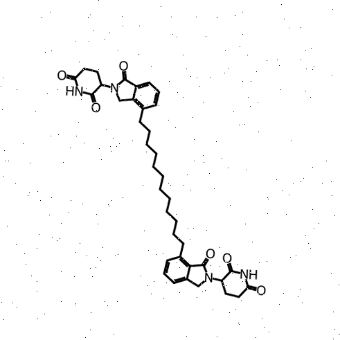 O=C1CCC(N2Cc3c(CCCCCCCCCCCCc4cccc5c4C(=O)N(C4CCC(=O)NC4=O)C5)cccc3C2=O)C(=O)N1